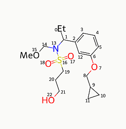 CCC(c1cccc(OCC2CC2)c1)N(COC)S(=O)(=O)CCCO